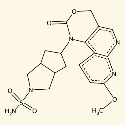 COc1ccc2c3c(cnc2n1)COC(=O)N3C1CC2CN(S(N)(=O)=O)CC2C1